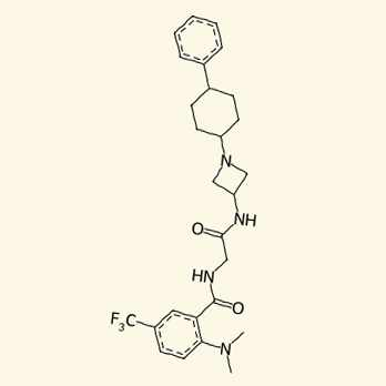 CN(C)c1ccc(C(F)(F)F)cc1C(=O)NCC(=O)NC1CN(C2CCC(c3ccccc3)CC2)C1